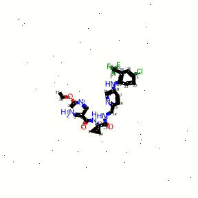 C=C(/N=C\C(=C/N)C(=O)NC1(C(=O)NCc2ccc(Nc3ccc(Cl)cc3C(F)(F)F)cn2)CC1)OCC